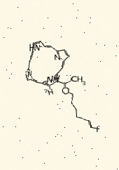 [2H]c1c(C(C)OCCCCCCF)c2cc3nc(cc4ccc(cc5nc(cc1[nH]2)C=C5)[nH]4)C=C3